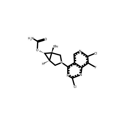 CC(C)(C)[C@@]12CN(c3nc(Cl)nc4c(F)c(Cl)ncc34)C[C@H]1[C@@H]2OC(N)=O